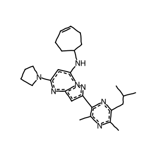 Cc1nc(C)c(-c2cc3nc(N4CCCC4)cc(NC4CCC=CCC4)n3n2)nc1CC(C)C